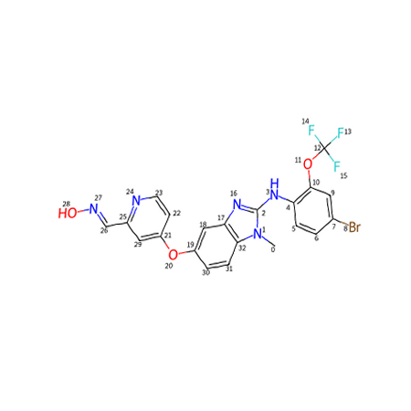 Cn1c(Nc2ccc(Br)cc2OC(F)(F)F)nc2cc(Oc3ccnc(C=NO)c3)ccc21